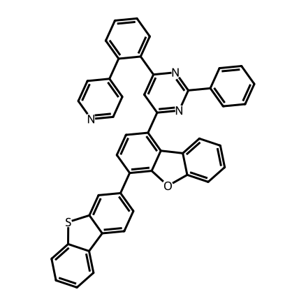 c1ccc(-c2nc(-c3ccccc3-c3ccncc3)cc(-c3ccc(-c4ccc5c(c4)sc4ccccc45)c4oc5ccccc5c34)n2)cc1